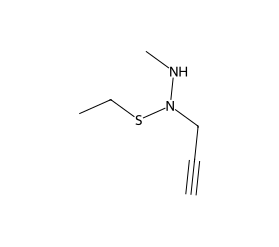 C#CCN(NC)SCC